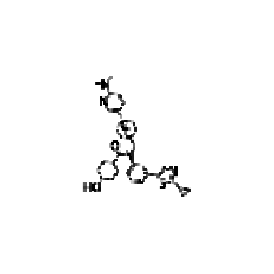 CN(C)c1ccc(C23CCC(CN(C(=O)C4CCC(O)CC4)c4cccc(-c5cnc(C6CC6)s5)c4)(CC2)CC3)cn1